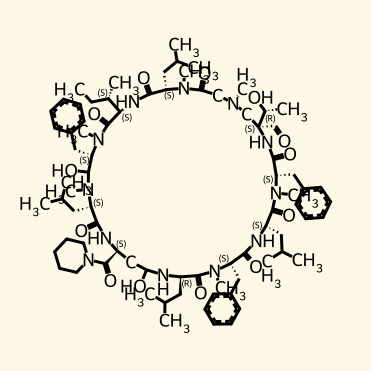 CC[C@H](C)[C@@H]1NC(=O)[C@H](CC(C)C)N(C)C(=O)CN(C)C[C@@](C=O)([C@@H](C)O)NC(=O)[C@H](Cc2ccccc2)N(C)C(=O)[C@H](CC(C)C)NC(=O)[C@H](Cc2ccccc2)N(C)C(=O)[C@@H](CC(C)C)NC(O)C[C@@H](C(=O)N2CCCCC2)NC(=O)[C@H](CC(C)C)N(C)C(O)[C@H](Cc2ccccc2)N(C)C1=O